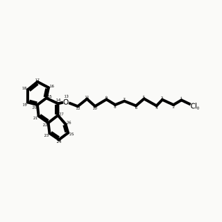 ClCCCCCCCCCCCCOc1c2ccccc2cc2ccccc12